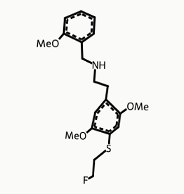 COc1cc(SCCF)c(OC)cc1CCNCc1ccccc1OC